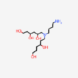 NCCCCN(CCC(O)CCCO)CC(O)CC(O)CCO